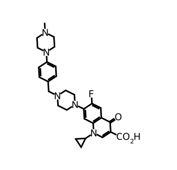 CN1CCN(c2ccc(CN3CCN(c4cc5c(cc4F)c(=O)c(C(=O)O)cn5C4CC4)CC3)cc2)CC1